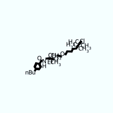 CCCCc1ccc(C(=O)NCC(C)(CC)C(C)(C)OCCOCCCCCC(C)(C)C(C)(C)Cl)cc1